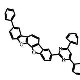 c1ccc(-c2ccc3oc4c(ccc5c6cc(-c7nc(-c8ccccc8)cc(-c8ccccc8)n7)ccc6oc54)c3c2)cc1